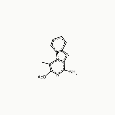 CC(=O)Oc1nc(N)c2nc3ccccc3n2c1C